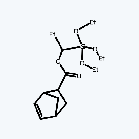 CCO[Si](OCC)(OCC)C(CC)OC(=O)C1CC2C=CC1C2